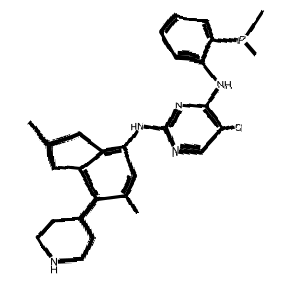 Cc1cc(Nc2ncc(Cl)c(Nc3ccccc3P(C)C)n2)c2c(c1C1CCNCC1)CC(C)C2